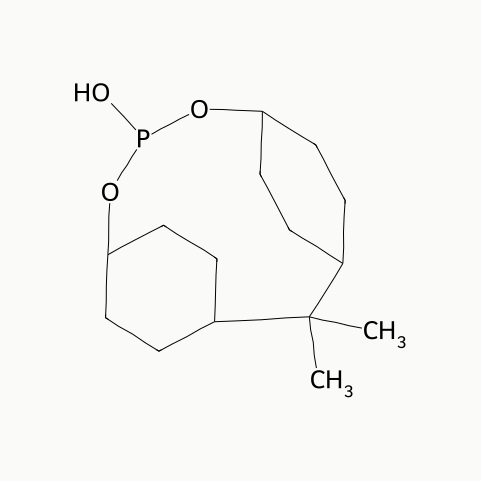 CC1(C)C2CCC(CC2)OP(O)OC2CCC1CC2